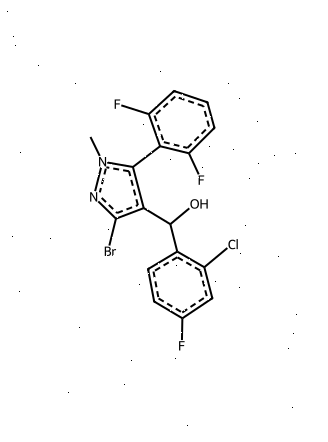 Cn1nc(Br)c(C(O)c2ccc(F)cc2Cl)c1-c1c(F)cccc1F